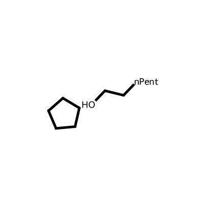 C1CCCC1.CCCCCCCO